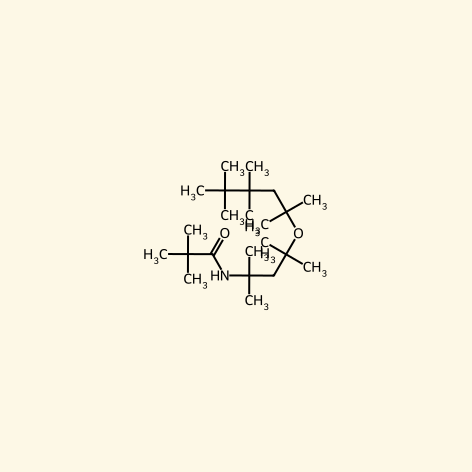 CC(C)(CC(C)(C)OC(C)(C)CC(C)(C)C(C)(C)C)NC(=O)C(C)(C)C